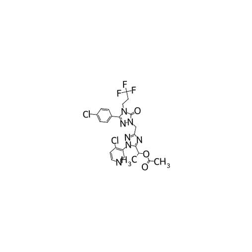 CC(=O)OC(C)c1nc(Cn2nc(-c3ccc(Cl)cc3)n(CCC(F)(F)F)c2=O)nn1-c1cnccc1Cl